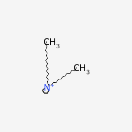 CCCCCCCCCCCCCCCCC(CCCCCCCCCCCC)[n+]1ccccc1